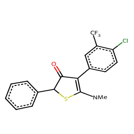 CNC1=C(c2ccc(Cl)c(C(F)(F)F)c2)C(=O)C(c2ccccc2)S1